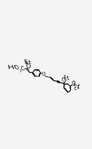 CCOC1=CC=CC(C#CC=CCOc2ccc(C[C@H](OCC)C(=O)O)cc2)(OCC)C1